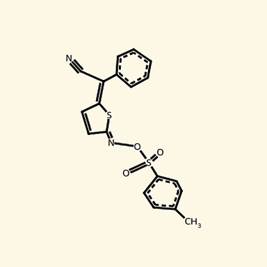 Cc1ccc(S(=O)(=O)ON=C2C=CC(=C(C#N)c3ccccc3)S2)cc1